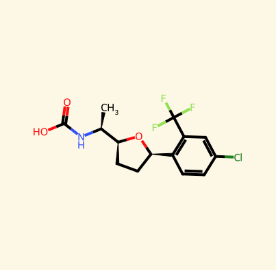 C[C@H](NC(=O)O)[C@@H]1CC[C@H](c2ccc(Cl)cc2C(F)(F)F)O1